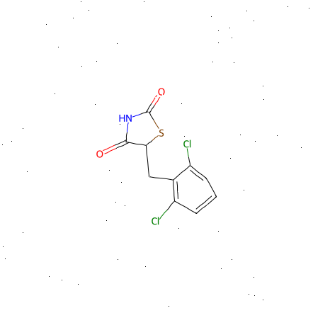 O=C1NC(=O)C(Cc2c(Cl)cccc2Cl)S1